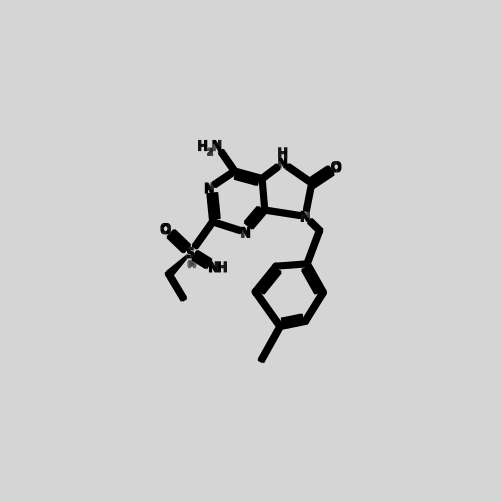 CC[S@@](=N)(=O)c1nc(N)c2[nH]c(=O)n(Cc3ccc(C)cc3)c2n1